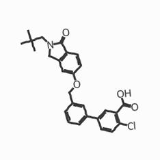 CC(C)(C)CN1Cc2cc(OCc3cccc(-c4ccc(Cl)c(C(=O)O)c4)c3)ccc2C1=O